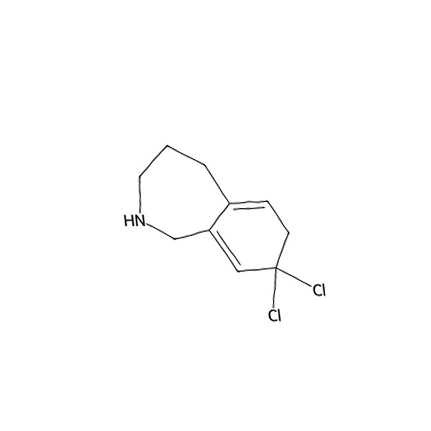 ClC1(Cl)C=C2CNCCCC2=CC1